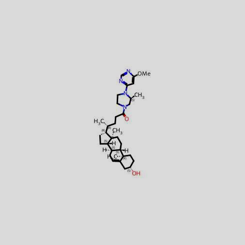 COc1cc(N2CCN(C(=O)CC[C@@H](C)[C@H]3CC[C@H]4[C@@H]5CC=C6C[C@@H](O)CC[C@]6(C)[C@H]5CC[C@]34C)C[C@@H]2C)ncn1